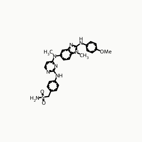 COc1ccc(Nc2nc3cc(N(C)c4ccnc(Nc5ccc(CS(N)(=O)=O)cc5)n4)ccc3n2C)cc1